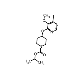 COc1c(I)ncnc1OC1CCN(C(=O)OC(C)C)CC1